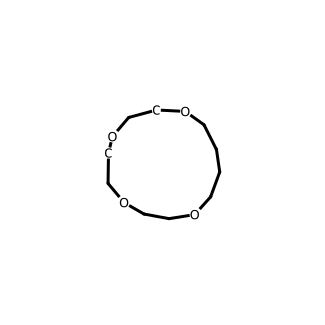 C1CCOCCOCCOCCOC1